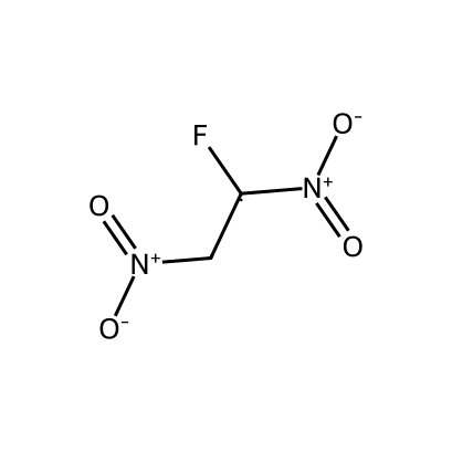 O=[N+]([O-])C[C](F)[N+](=O)[O-]